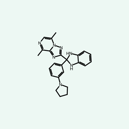 Cc1ncc(C)n2nc(C3(c4cccc(N5CCCC5)c4)Nc4ccccc4N3)nc12